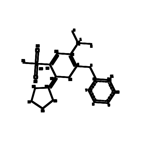 CN(C)C1=C(Cc2ccccn2)CC(=C2CCCC2)C(S(C)(=O)=O)=C1